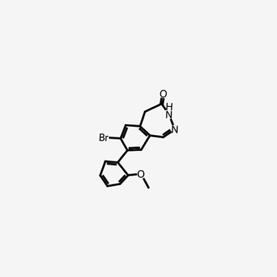 COc1ccccc1-c1cc2c(cc1Br)CC(=O)NN=C2